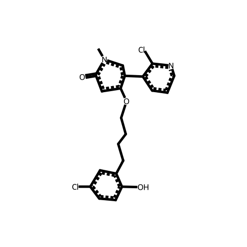 Cn1cc(-c2cccnc2Cl)c(OCCCCc2cc(Cl)ccc2O)cc1=O